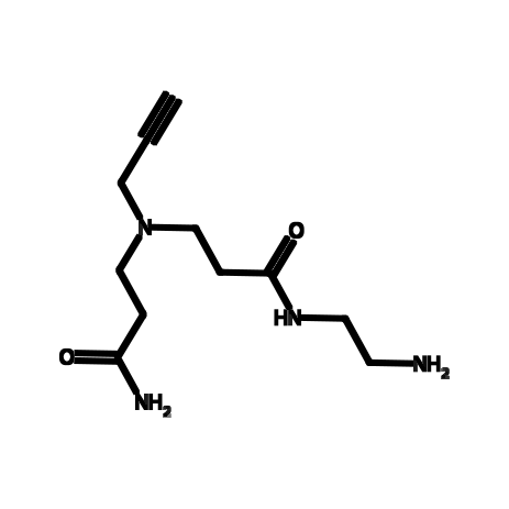 C#CCN(CCC(N)=O)CCC(=O)NCCN